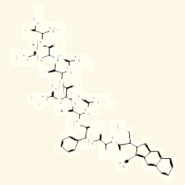 N#CC1=c2cc3ccccc3cc2=CC1C(CO)C(=O)NC(O)C(=O)NC(C(=O)NC(NC(=N)N)C(=O)NC(NC(=N)N)C(=O)NC(NC(=N)N)C(=O)NC(NC(=N)N)C(=O)NC(N)C(N)=O)c1ccccc1